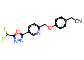 N#CCc1ccc(OCc2ccc(-c3nnc(C(F)F)o3)cn2)cc1